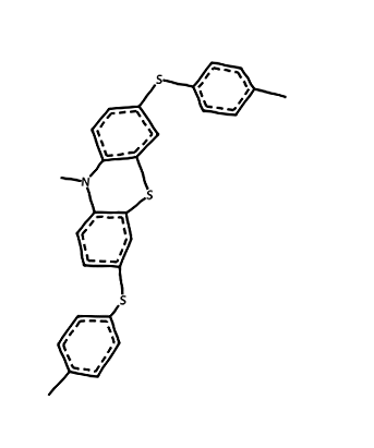 Cc1ccc(Sc2ccc3c(c2)Sc2cc(Sc4ccc(C)cc4)ccc2N3C)cc1